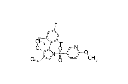 COc1ccc(S(=O)(=O)n2cc(C=O)c(OC)c2-c2c(F)cc(F)cc2F)cn1